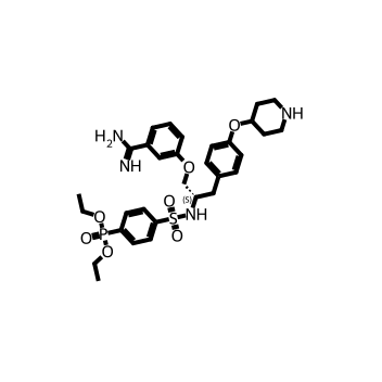 CCOP(=O)(OCC)c1ccc(S(=O)(=O)N[C@H](COc2cccc(C(=N)N)c2)Cc2ccc(OC3CCNCC3)cc2)cc1